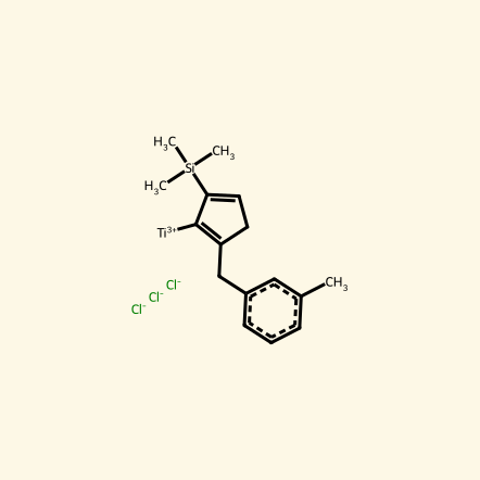 Cc1cccc(CC2=[C]([Ti+3])C([Si](C)(C)C)=CC2)c1.[Cl-].[Cl-].[Cl-]